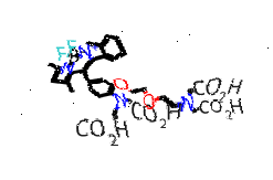 Cc1cc(C)n2c1C(c1ccc(N(CC(=O)O)CC(=O)O)c(OCCOCCN(CC(=O)O)CC(=O)O)c1)=C1c3ccccc3C=[N+]1[B-]2(F)F